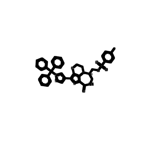 Cc1ccc(S(=O)(=O)OC[C@H]2CNC(=O)c3sc(-c4cnn(C(c5ccccc5)(c5ccccc5)c5ccccc5)c4)c4c3N2CCO4)cc1